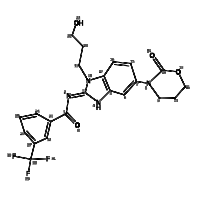 O=C(/N=c1\[nH]c2cc(N3CCCOC3=O)ccc2n1CCCO)c1cccc(C(F)(F)F)c1